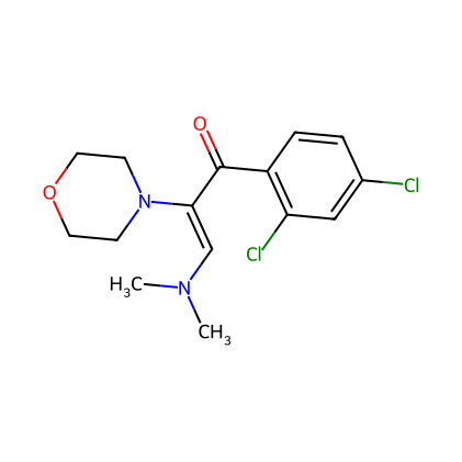 CN(C)C=C(C(=O)c1ccc(Cl)cc1Cl)N1CCOCC1